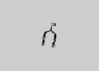 N#CC(C=[N+]=[N-])C=[N+]=[N-]